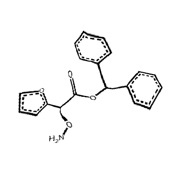 NO[C@H](C(=O)OC(c1ccccc1)c1ccccc1)c1ccco1